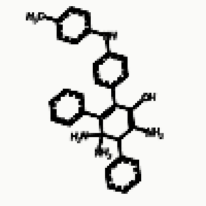 Cc1ccc(Nc2ccc(C3=C(c4ccccc4)C(N)(N)C(c4ccccc4)C(N)=C3O)cc2)cc1